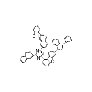 CC1C=CC=CC1c1ccc2ccc(-c3nc(-c4ccc5ccccc5c4)nc(-c4cccc5oc6cc(-c7ccc(-c8ccccc8)c8ccccc78)ccc6c45)n3)cc2c1